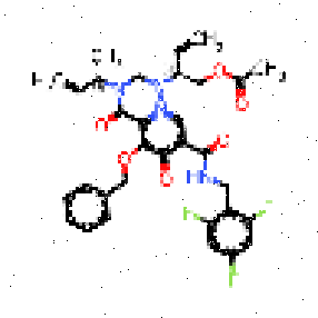 C=C[C@H](C)N1CN([C@@H](C=C)COC(C)=O)n2cc(C(=O)NCc3c(F)cc(F)cc3F)c(=O)c(OCc3ccccc3)c2C1=O